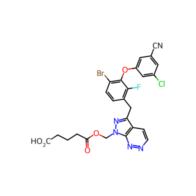 N#Cc1cc(Cl)cc(Oc2c(Br)ccc(Cc3nn(COC(=O)CCCC(=O)O)c4nnccc34)c2F)c1